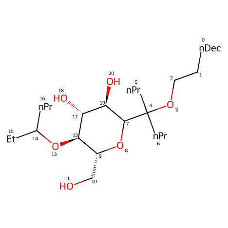 CCCCCCCCCCCCOC(CCC)(CCC)C1O[C@H](CO)[C@@H](OC(CC)CCC)[C@H](O)[C@H]1O